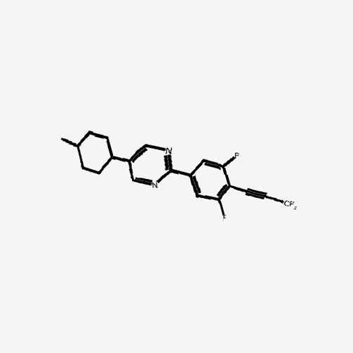 CC1CCC(c2cnc(-c3cc(F)c(C#CC(F)(F)F)c(F)c3)nc2)CC1